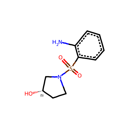 Nc1ccccc1S(=O)(=O)N1CC[C@H](O)C1